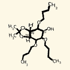 CCCCOC1C(OCCCC)[C@@H]2OC(C)(C)O[C@@H]2C(OCCCC)[C@H]1O